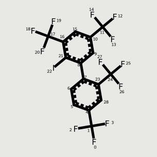 FC(F)(F)c1ccc(-c2cc(C(F)(F)F)cc(C(F)(F)F)c2I)c(C(F)(F)F)c1